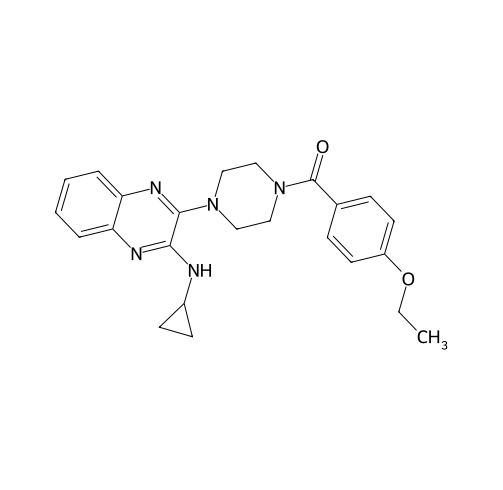 CCOc1ccc(C(=O)N2CCN(c3nc4ccccc4nc3NC3CC3)CC2)cc1